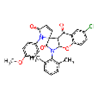 COc1ccc(N2C(=O)C=CC23C(=O)N(c2c(C)cccc2C)C2Oc4ccc(Cl)cc4C(=O)C23)cc1